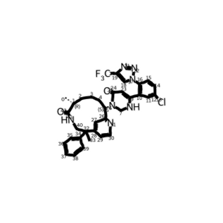 C[C@@H]1CCC[C@H](N2CNC(c3cc(Cl)ccc3-n3cc(C(F)(F)F)nn3)=CC2=O)c2cc(ccn2)C(C)(c2ccccc2)CNC1=O